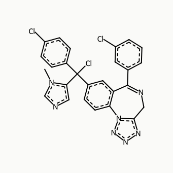 Cn1cncc1C(Cl)(c1ccc(Cl)cc1)c1ccc2c(c1)C(c1cccc(Cl)c1)=NCc1nnnn1-2